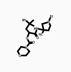 CCN1CCC(C#N)(NC(=O)C(CC(C)(C)C(C)C)OC(=O)N2CCOCC2)C1